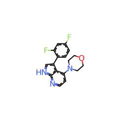 Fc1ccc(-c2c[nH]c3nccc(N4CCOCC4)c23)c(F)c1